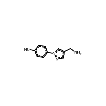 N#Cc1ccc(-n2cc(CN)cn2)cc1